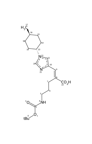 CC(C)(C)OC(=O)NCCC/C(=C\c1cn([C@H]2CC[C@H](C)CC2)cn1)C(=O)O